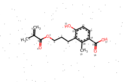 C=C(C)C(=O)OCCCc1c(O)ccc(C(=O)O)c1C